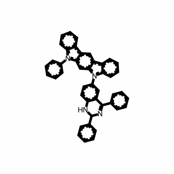 c1ccc(C2=NC(c3ccccc3)Nc3ccc(-n4c5ccccc5c5cc6c7ccccc7n(-c7ccccc7)c6cc54)cc32)cc1